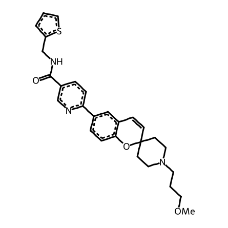 COCCCN1CCC2(C=Cc3cc(-c4ccc(C(=O)NCc5cccs5)cn4)ccc3O2)CC1